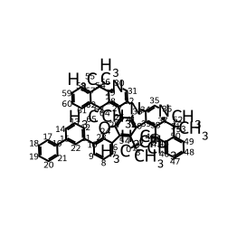 CC(C)(C)c1c2c3cccc(-c4cccc(-c5ccccc5)c4)c3oc2c2c3c4c(ncc3n3c5cnc6c(c5c1c23)C(C)(C)c1ccccc1C6(C)C)C(C)(C)c1ccccc1C4(C)C